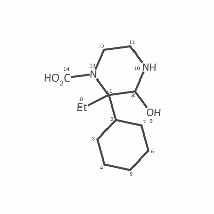 CCC1(C2CCCCC2)C(O)NCCN1C(=O)O